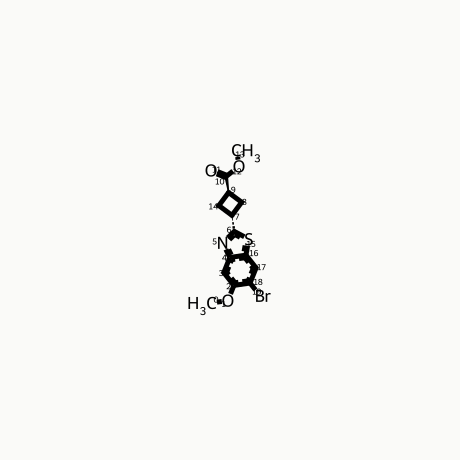 COc1cc2nc([C@H]3C[C@H](C(=O)OC)C3)sc2cc1Br